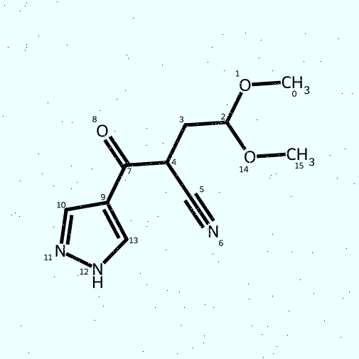 COC(CC(C#N)C(=O)c1cn[nH]c1)OC